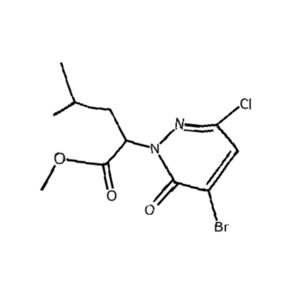 COC(=O)C(CC(C)C)n1nc(Cl)cc(Br)c1=O